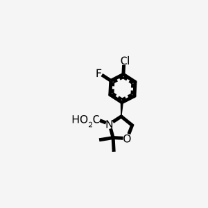 CC1(C)OC[C@H](c2ccc(Cl)c(F)c2)N1C(=O)O